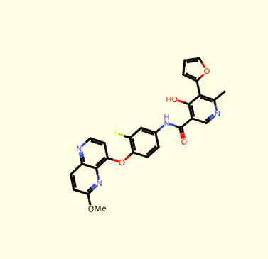 COc1ccc2nccc(Oc3ccc(NC(=O)c4cnc(C)c(-c5ccco5)c4O)cc3F)c2n1